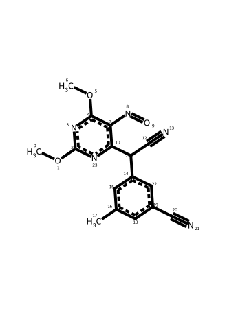 COc1nc(OC)c(N=O)c(C(C#N)c2cc(C)cc(C#N)c2)n1